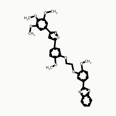 COc1ccc(-c2cc(-c3cc(OC)c(OC)c(OC)c3)no2)cc1OCCOc1cc(-c2nc3ccccc3s2)ccc1OC